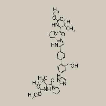 COC(=O)N[C@H](C(=O)N1CCC[C@H]1c1ncc(-c2ccc(-c3ccc(-c4cnc([C@@H]5CCCN5C(=O)[C@@H](NC(=O)OC)C(C)C)[nH]4)cc3CO)cc2)[nH]1)C(C)C